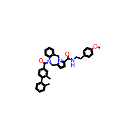 COc1ccc(CCNC(=O)c2ccc3n2Cc2ccccc2N(C(=O)c2ccc(-c4ccccc4C)c(C)c2)C3)cc1